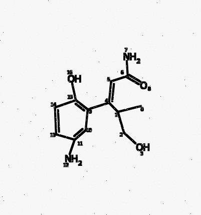 CC(CO)C(=CC(N)=O)c1cc(N)ccc1O